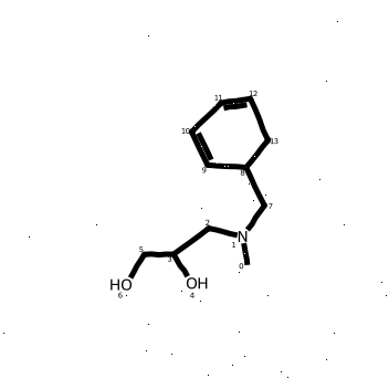 CN(CC(O)CO)CC1C=CC=CC1